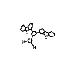 N#Cc1cc(C#N)cc(-c2cc(-c3ccc4c(c3)sc3ccccc34)cc(-c3cccc4c3sc3ccccc34)c2)c1